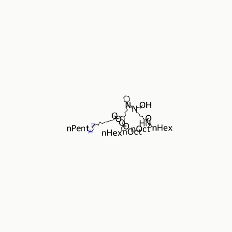 CCCCC/C=C\C/C=C\CCCCCCCC(=O)OCC(CCCCN(CCN(CCO)CCCCCC(=O)NCC(CCCCCC)CCCCCCCC)C1CCCCC1)COC(=O)CC(CCCCCC)CCCCCCCC